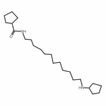 O=C(NCCCCCCCCCCCCNC1CCCC1)C1CCCC1